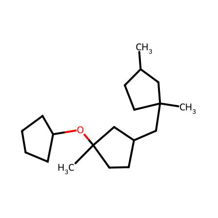 CC1CCC(C)(CC2CCC(C)(OC3CCCC3)C2)C1